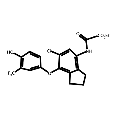 CCOC(=O)C(=O)Nc1cc(Cl)c(Oc2ccc(O)c(C(F)(F)F)c2)c2c1CCC2